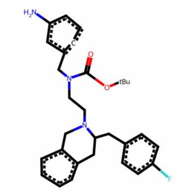 CC(C)(C)OC(=O)N(CCN1Cc2ccccc2CC1Cc1ccc(F)cc1)Cc1cccc(N)c1